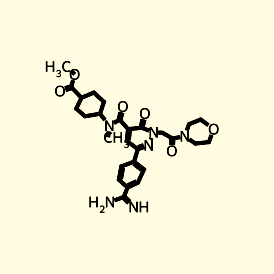 COC(=O)C1CCC(N(C)C(=O)c2cc(-c3ccc(C(=N)N)cc3)nn(CC(=O)N3CCOCC3)c2=O)CC1